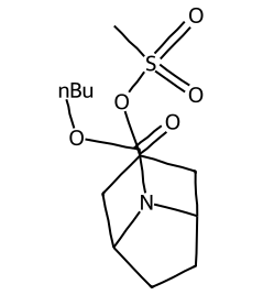 CCCCOC(=O)N1C2CCC1CC(OS(C)(=O)=O)C2